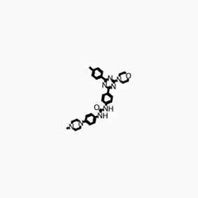 Cc1ccc(-c2nc(-c3ccc(NC(=O)Nc4ccc(N5CCN(C)CC5)cc4)cc3)nc(N3CCOCC3)n2)cc1